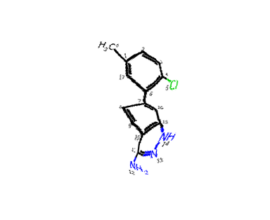 Cc1ccc(Cl)c(-c2ccc3c(N)n[nH]c3c2)c1